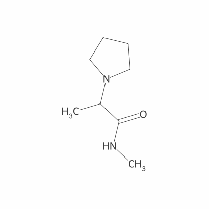 CNC(=O)C(C)N1CCCC1